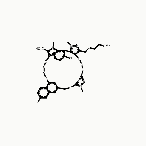 COCCOCc1nn(C)c2c1CSCc1cc(n(C)n1)CCc1cc(c3ccc(F)cc3c1)OCCCc1c(C(=O)O)n(C)c3c-2c(Cl)ccc13